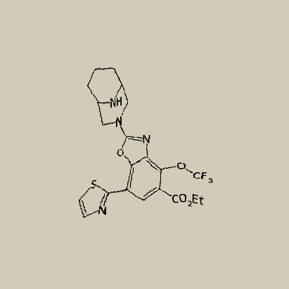 CCOC(=O)c1cc(-c2nccs2)c2oc(N3CC4CCCC(C3)N4)nc2c1OC(F)(F)F